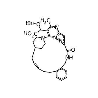 Cc1nc2cc3nn2c(c1[C@H](OC(C)(C)C)C(=O)O)N1CCC(C/C=C\CCc2ccccc2CNC3=O)CC1